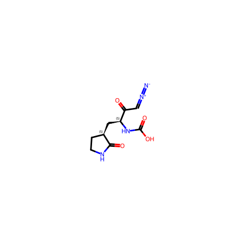 [N-]=[N+]=CC(=O)[C@H](C[C@@H]1CCNC1=O)NC(=O)O